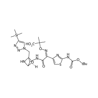 CC(C)(C)OC(=O)Nc1nc(/C(=N/OC(C)(C)C(=O)O)C(=O)N[C@H]2C3NC2(Cn2cc([Si](C)(C)C)nn2)O3)cs1